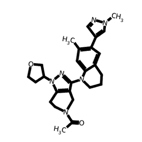 CC(=O)N1CCc2c(c(N3CCCc4cc(-c5cnn(C)c5)c(C)cc43)nn2C2CCOC2)C1